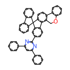 c1ccc(-c2cc(-c3ccccc3)nc(-c3ccc4c(c3)C3(c5ccccc5-c5ccccc53)c3ccc5c(c3-4)COc3ccccc3-5)n2)cc1